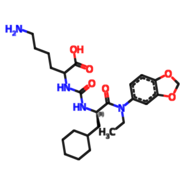 CCN(C(=O)[C@@H](CC1CCCCC1)NC(=O)NC(CCCCN)C(=O)O)c1ccc2c(c1)OCO2